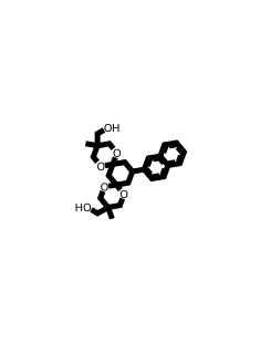 CC1(CO)COC2(CC(c3ccc4ccccc4c3)CC3(C2)OCC(C)(CO)CO3)OC1